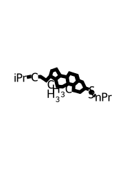 CCCSSC1CCC2(C)C(=CCC3C2CCC2(C)C(CCCCC(C)C)CCC32)C1